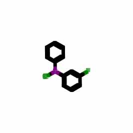 Fc1cccc(P(Cl)c2ccccc2)c1